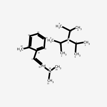 CC(C)P(C(C)C)C(C)C.Cc1ccccc1[CH]=[Pd][N](C)C